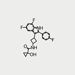 O=C(NC1CC(c2c(-c3ccc(F)cc3)[nH]c3c(F)cc(F)cc23)C1)C1(O)CC1